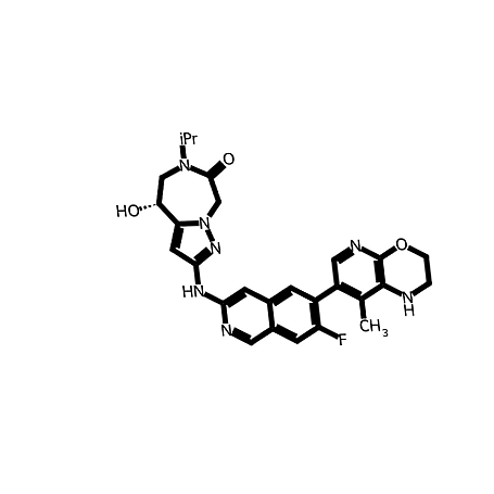 Cc1c(-c2cc3cc(Nc4cc5n(n4)CC(=O)N(C(C)C)C[C@H]5O)ncc3cc2F)cnc2c1NCCO2